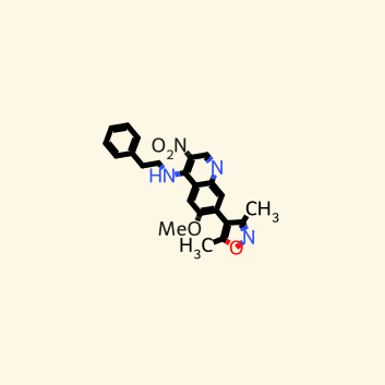 COc1cc2c(NCCc3ccccc3)c([N+](=O)[O-])cnc2cc1-c1c(C)noc1C